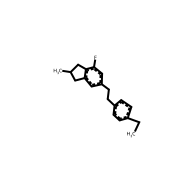 CCc1ccc(CCc2cc(F)c3c(c2)CC(C)C3)cc1